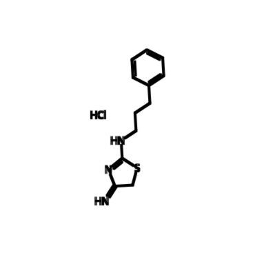 Cl.N=C1CSC(NCCCc2ccccc2)=N1